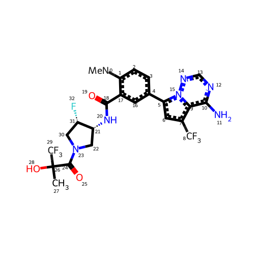 CNc1ccc(-c2cc(C(F)(F)F)c3c(N)ncnn23)cc1C(=O)N[C@@H]1CN(C(=O)C(C)(O)C(F)(F)F)C[C@@H]1F